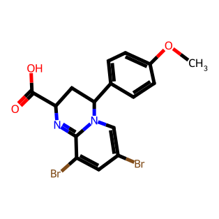 COc1ccc(C2CC(C(=O)O)N=C3C(Br)=CC(Br)=CN32)cc1